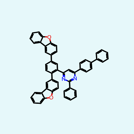 c1ccc(-c2ccc(-c3cc(-c4cc(-c5ccc6oc7ccccc7c6c5)ccc4-c4ccc5oc6ccccc6c5c4)nc(-c4ccccc4)n3)cc2)cc1